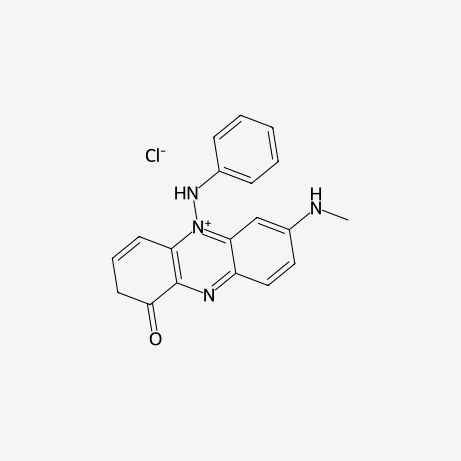 CNc1ccc2nc3c([n+](Nc4ccccc4)c2c1)C=CCC3=O.[Cl-]